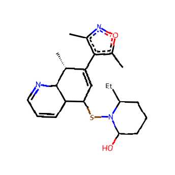 CCC1CCCC(O)N1SC1C=C(c2c(C)noc2C)[C@@H](C)C2N=CC=CC12